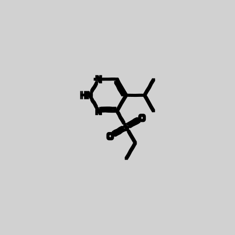 CCS(=O)(=O)C1=NN[N]C=C1C(C)C